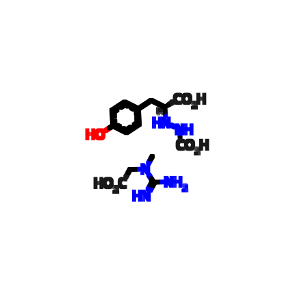 CN(CC(=O)O)C(=N)N.O=C(O)NN[C@@H](Cc1ccc(O)cc1)C(=O)O